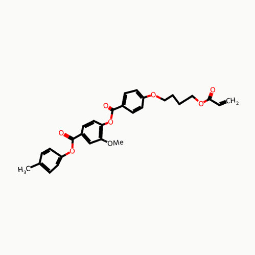 C=CC(=O)OCCCCOc1ccc(C(=O)Oc2ccc(C(=O)Oc3ccc(C)cc3)cc2OC)cc1